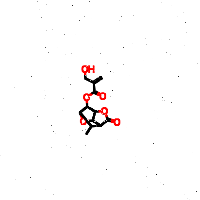 C=C(CO)C(=O)OC1C2OC3C1OC(=O)C3C2C